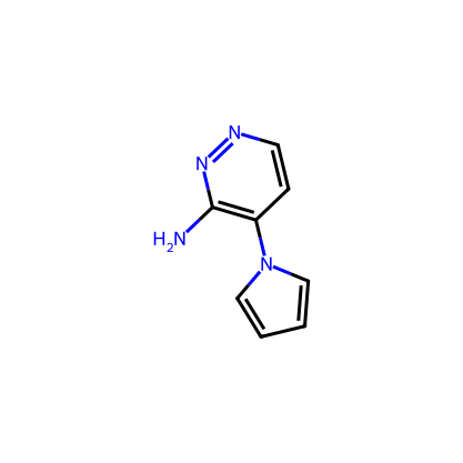 Nc1nnccc1-n1cccc1